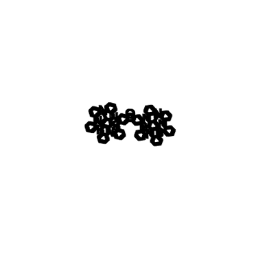 N#Cc1c2c3c4c5c1N(c1ccccc1)c1cc6oc7cc8c(cc7c6cc1B5c1ccccc1N4c1ccccc1B3c1ccccc1N2c1ccccc1)B1c2ccccc2N2c3ccccc3B3c4ccccc4N(c4ccccc4)c4c(C#N)c(c1c2c43)N8c1ccccc1